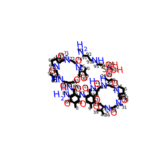 Cc1c2oc3c(C)ccc(C(=O)N[C@@H]4C(=O)N[C@H](C(C)C)C(=O)N5CCC[C@H]5C(=O)N(C)CC(=O)N(C)[C@@H](C(C)C)C(=O)O[C@@H]4C)c3nc-2c(C(=O)N[C@@H]2C(=O)N[C@H](C(C)C)C(=O)N3CCC[C@H]3C(=O)N(C)CC(=O)N(C)[C@@H](C(C)C)C(=O)O[C@@H]2C)c(N)c1=O.NCCCNCCSP(=O)(O)O